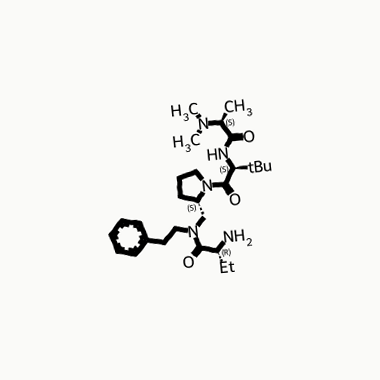 CC[C@@H](N)C(=O)N(CCc1ccccc1)C[C@@H]1CCCN1C(=O)[C@@H](NC(=O)[C@H](C)N(C)C)C(C)(C)C